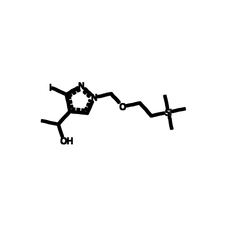 CC(O)c1cn(COCC[Si](C)(C)C)nc1I